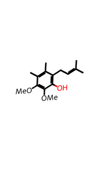 COc1c(C)c(C)c(CC=C(C)C)c(O)c1OC